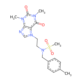 Cc1ccc(CN(CCn2cnc3c2c(=O)n(C)c(=O)n3C)S(C)(=O)=O)cc1